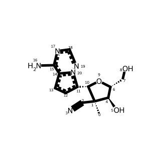 C[C@@]1(C#N)[C@H](O)[C@@H](CO)O[C@H]1c1ccc2c(N)ncnn12